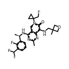 Cc1nc(N[C@H](C)c2cccc(C(F)F)c2F)c2cn(C3(CF)CC3)c(=O)c(NCC3(C)COC3)c2n1